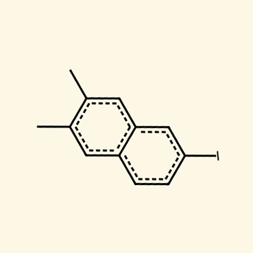 Cc1cc2ccc(I)cc2cc1C